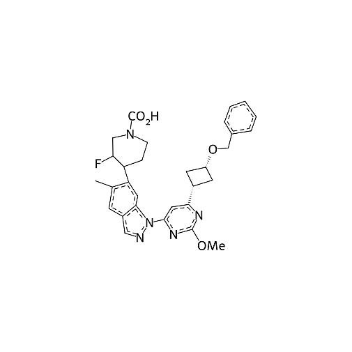 COc1nc(-n2ncc3cc(C)c(C4CCN(C(=O)O)CC4F)cc32)cc([C@H]2C[C@@H](OCc3ccccc3)C2)n1